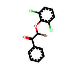 O=C(c1ccccc1)C(Br)Oc1c(Cl)cccc1Cl